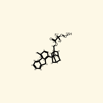 Cc1ccc(C23CC4CC(CC(COC(=O)C(F)(F)OOS)(C4)C2)C3)c2c1-c1ccccc1C2